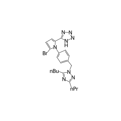 CCCCc1nc(CCC)nn1Cc1ccc(-n2c(Br)ccc2-c2nnn[nH]2)cc1